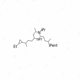 CCCC(CCC(C)C1CC1CC)CC(C)N(CCCC(C)C(C)CCC)C(C)C